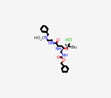 CC(C)(C)[Si](C)(C)O[C@@H](CNC(=O)OCc1ccccc1)C[C@H](N)C(=O)NCCN(Cc1ccccc1)C(=O)O.Cl